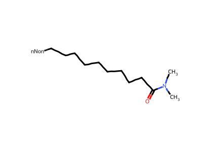 CCCCCCCCCCCCCCCCCCC(=O)N(C)C